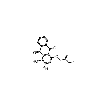 CCC(=O)COc1cc(O)c(O)c2c1C(=O)c1ccccc1C2=O